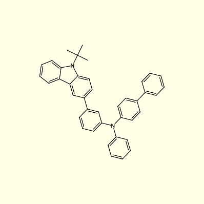 CC(C)(C)n1c2ccccc2c2cc(-c3cccc(N(c4ccccc4)c4ccc(-c5ccccc5)cc4)c3)ccc21